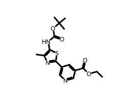 CCOC(=O)c1cncc(-c2nc(C)c(NC(=O)OC(C)(C)C)s2)c1